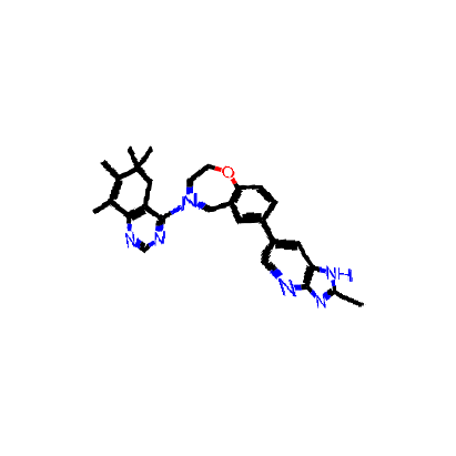 CC1=C(C)C(C)(C)Cc2c1ncnc2N1CCOc2ccc(-c3cnc4nc(C)[nH]c4c3)cc2C1